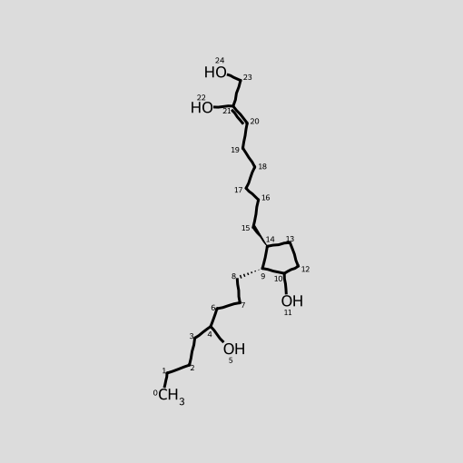 CCCCC(O)CCC[C@H]1C(O)CC[C@@H]1CCCCCC=C(O)CO